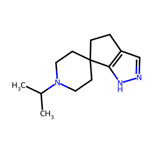 CC(C)N1CCC2(CCc3cn[nH]c32)CC1